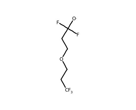 [O]C(F)(F)CCOCCC(F)(F)F